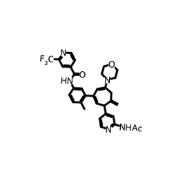 C=C1CC(N2CCOCC2)=CC(c2cc(NC(=O)c3ccnc(C(F)(F)F)c3)ccc2C)=CC1c1ccnc(NC(C)=O)c1